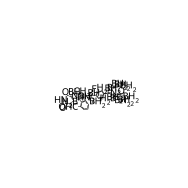 BC(B)(Nc1cccc(C=O)c1C(B)(B)N(C)C1(B)CCC(=O)NC1=O)c1ccc(C(B)(B)N2C(B)(B)C(B)(B)OC(B)(B)C2(B)B)cc1F